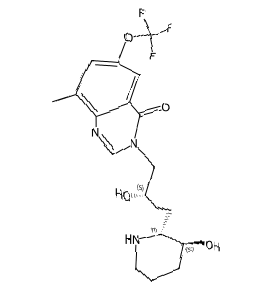 Cc1cc(OC(F)(F)F)cc2c(=O)n(C[C@@H](O)C[C@H]3NCCC[C@@H]3O)cnc12